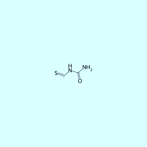 NC(=O)N[C]=S